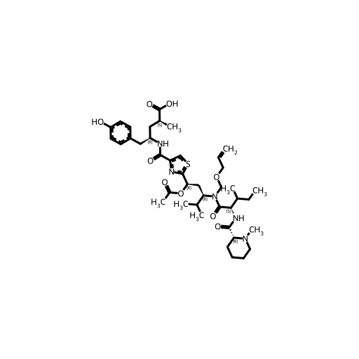 C=CCOCN(C(=O)[C@@H](NC(=O)[C@H]1CCCCN1C)C(C)CC)[C@H](C[C@@H](OC(C)=O)c1nc(C(=O)N[C@@H](Cc2ccc(O)cc2)C[C@H](C)C(=O)O)cs1)C(C)C